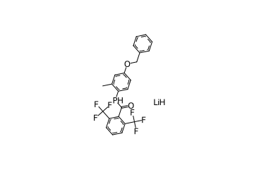 Cc1cc(OCc2ccccc2)ccc1PC(=O)c1c(C(F)(F)F)cccc1C(F)(F)F.[LiH]